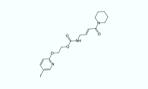 O=C(NC/C=C/C(=O)N1CCCCC1)OCCOc1ccc(I)cn1